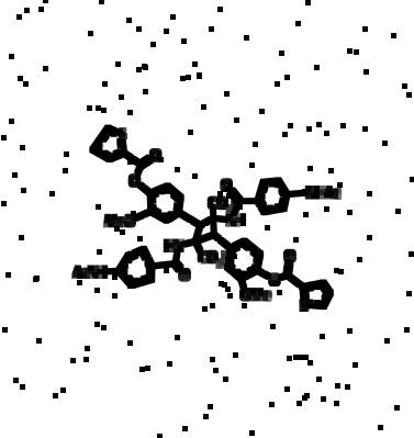 COc1cc(C2C(NC(=O)c3ccc(NC(C)=O)cc3)(C(=O)O)C(c3ccc(OC(=O)c4cccs4)c(OC)c3)C2(NC(=O)c2ccc(NC(C)=O)cc2)C(=O)O)ccc1OC(=O)c1cccs1